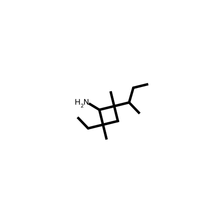 CCC(C)C1(C)CC(C)(CC)C1N